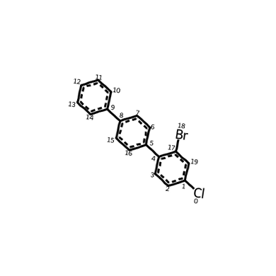 Clc1ccc(-c2ccc(-c3ccccc3)cc2)c(Br)c1